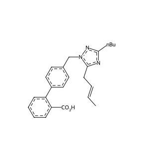 CC=CCc1nc(CCCC)nn1Cc1ccc(-c2ccccc2C(=O)O)cc1